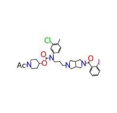 CC(=O)N1CCC(OC(=O)N(CCCN2CC3CN(C(=O)c4ccccc4I)CC3C2)c2ccc(C)c(Cl)c2)CC1